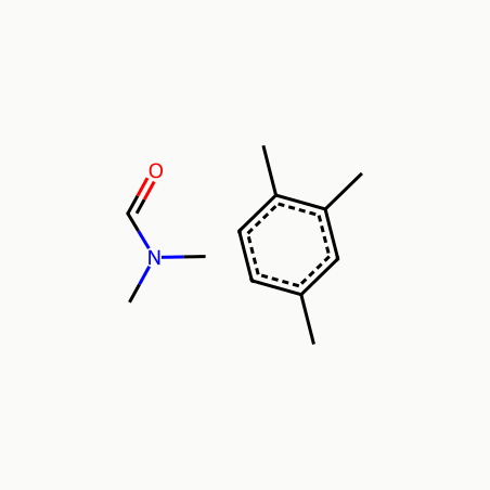 CN(C)C=O.Cc1ccc(C)c(C)c1